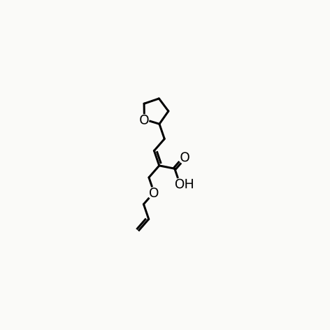 C=CCOCC(=CCC1CCCO1)C(=O)O